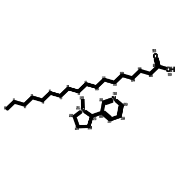 CCCCCCCCCCCCCCCCCC(=O)O.CN1CCCC1c1cccnc1